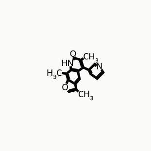 Cc1c(-c2cccnc2)c2cc3c(C)coc3c(C)c2[nH]c1=O